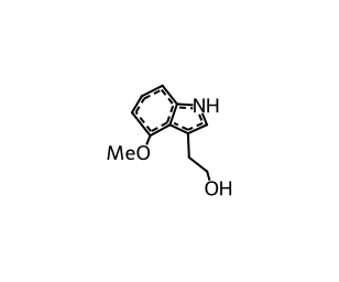 COc1cccc2[nH]cc(CCO)c12